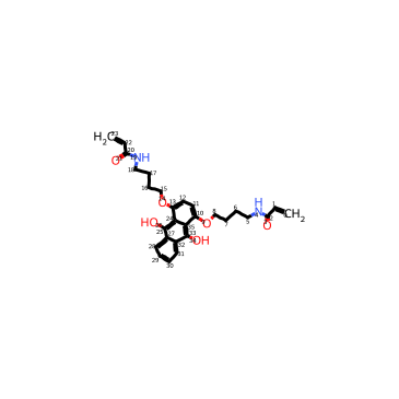 C=CC(=O)NCCCCOc1ccc(OCCCCNC(=O)C=C)c2c(O)c3ccccc3c(O)c12